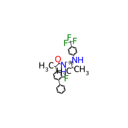 CC(C(=O)NC[C@H](Nc1ccc(C(F)(F)F)cc1)C(C)C)c1ccc(-c2ccccc2)c(F)c1